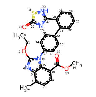 CCOc1nc2c(C)ccc(C(=O)OC)c2n1-c1ccc(-c2ccccc2-c2nc(=O)s[nH]2)cc1